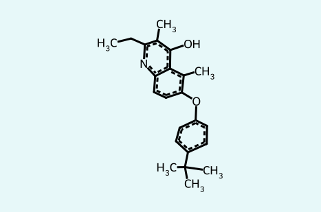 CCc1nc2ccc(Oc3ccc(C(C)(C)C)cc3)c(C)c2c(O)c1C